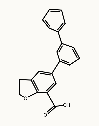 O=C(O)c1cc(-c2cccc(-c3ccccc3)c2)cc2c1OCC2